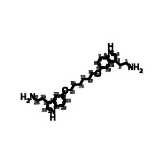 NCCc1c[nH]c2ccc(OCCCCCCOc3ccc4[nH]cc(CCN)c4c3)cc12